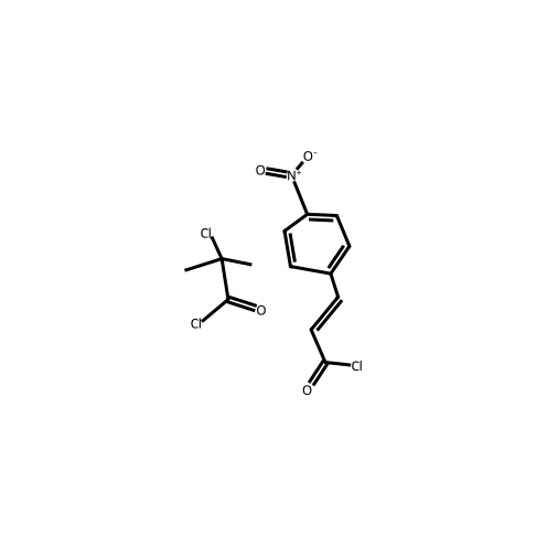 CC(C)(Cl)C(=O)Cl.O=C(Cl)C=Cc1ccc([N+](=O)[O-])cc1